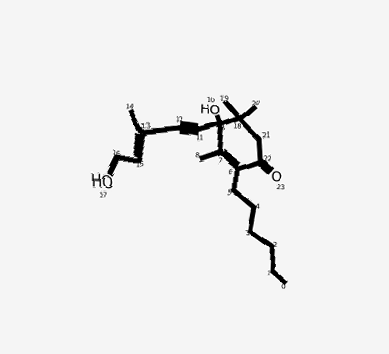 CCCCCCC1=C(C)C(O)(C#CC(C)=CCO)C(C)(C)CC1=O